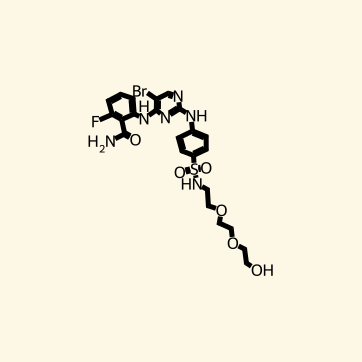 NC(=O)c1c(F)cccc1Nc1nc(Nc2ccc(S(=O)(=O)NCCOCCOCCO)cc2)ncc1Br